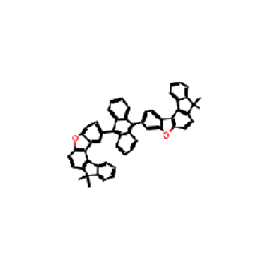 CC1(C)c2ccccc2-c2c1ccc1oc3cc(-c4c5ccccc5c(-c5ccc6oc7ccc8c(c7c6c5)-c5ccccc5C8(C)C)c5ccccc45)ccc3c21